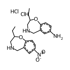 CCC1CNCc2cc(N)ccc2O1.CCC1CNCc2cc([N+](=O)[O-])ccc2O1.Cl.Cl